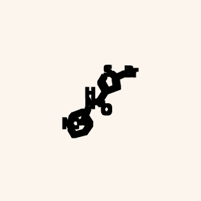 O=C(NC1CN2CCC1CC2)c1csc(Br)c1